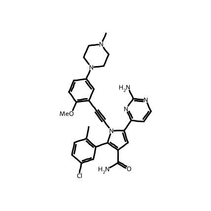 COc1ccc(N2CCN(C)CC2)cc1C#Cn1c(-c2ccnc(N)n2)cc(C(N)=O)c1-c1cc(Cl)ccc1C